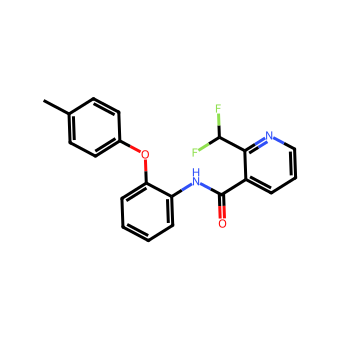 Cc1ccc(Oc2ccccc2NC(=O)c2cccnc2C(F)F)cc1